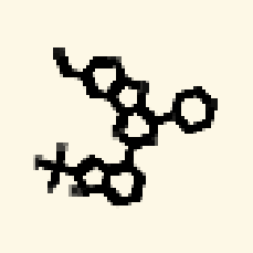 O=Cc1cnc2oc3c(N4CCOCC4)nc(-c4cccc5[nH]c(C(F)(F)F)cc45)nc3c2c1